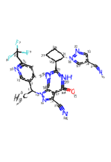 CC(c1ccc(C(F)(F)F)nc1)n1nc(C#N)c2c(=O)[nH]c([C@H]3CC[C@@H]3n3cc(C#N)cn3)nc21